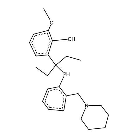 CCC(CC)(Pc1ccccc1CN1CCCCC1)c1cccc(OC)c1O